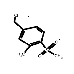 Cc1cc(CCl)ccc1S(C)(=O)=O